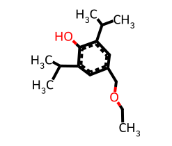 CCOCc1cc(C(C)C)c(O)c(C(C)C)c1